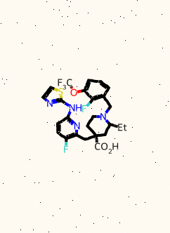 CCC1CC(Cc2nc(Nc3nccs3)ccc2F)(C(=O)O)CCN1Cc1cccc(OC(F)(F)F)c1F